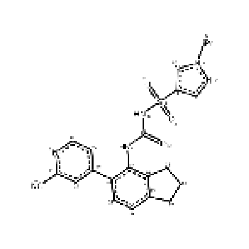 CC(C)n1ncc(S(=O)(=O)NC(=O)Nc2c(-c3ccnc(C#N)c3)ccc3c2CCC3)n1